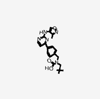 Cc1nocc1Nc1nccc(-c2ccc(CN(CC(C)(C)C)C(=O)O)cc2)n1